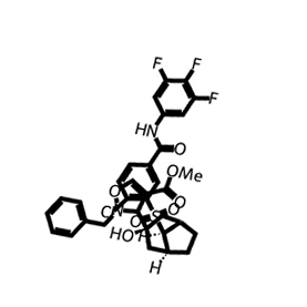 COC(=O)C1=CON(Cc2ccccc2)C1[C@]1(O)CC2CC[C@@H](C1)[C@H]2S(=O)(=O)c1cc(C(=O)Nc2cc(F)c(F)c(F)c2)ccc1Cl